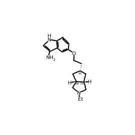 CCN1C[C@H]2C[C@@H](CCOc3ccc4[nH]cc(N)c4c3)C[C@H]2C1